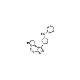 c1ccc(N[C@@H]2CC[C@@H](c3nnc4ccc5[nH]ccc5n34)C2)cc1